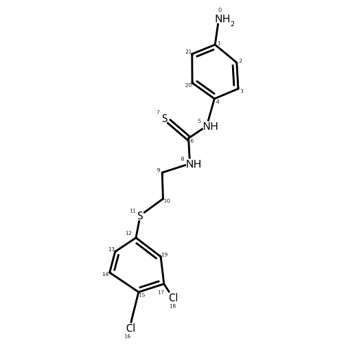 Nc1ccc(NC(=S)NCCSc2ccc(Cl)c(Cl)c2)cc1